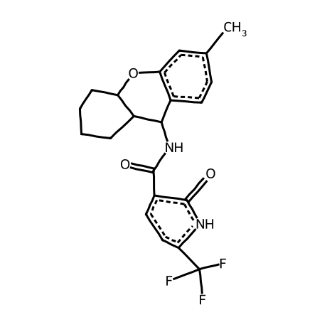 Cc1ccc2c(c1)OC1CCCCC1C2NC(=O)c1ccc(C(F)(F)F)[nH]c1=O